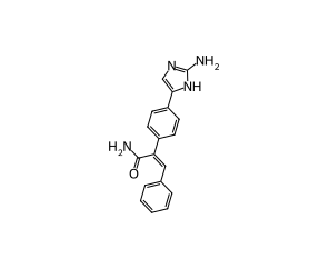 NC(=O)/C(=C\c1ccccc1)c1ccc(-c2cnc(N)[nH]2)cc1